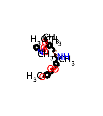 CNC(CS/C=C/c1ccc(OC(C)(C)C)c(OC(=O)N(C)c2ccccc2)c1)c1ccc(OC(=O)Cc2ccc(OC)cc2)cc1